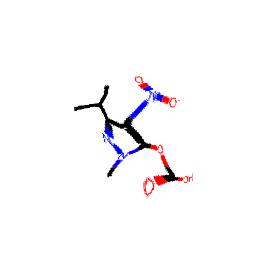 CC(C)c1nn(C)c(OC(=O)O)c1[N+](=O)[O-]